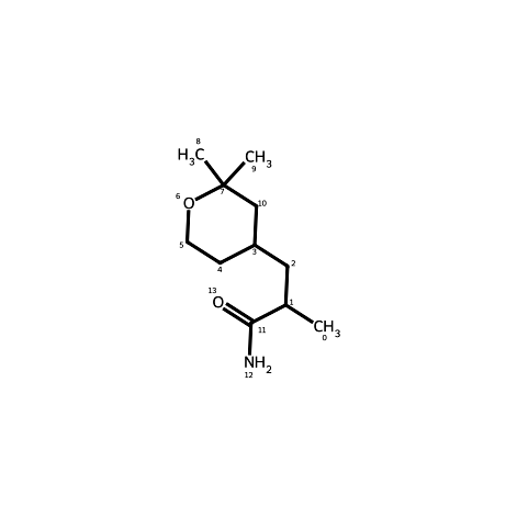 CC(CC1CCOC(C)(C)C1)C(N)=O